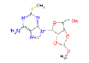 COC1OC2C(CO)OC(n3cnc4c(N)nc(SC)nc43)C2O1